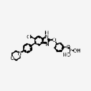 OP(O)Oc1cccc(Oc2nc3cc(-c4ccc(N5CCOCC5)cc4)c(Cl)cc3[nH]2)c1